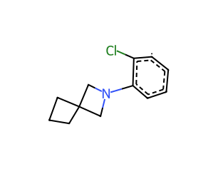 Clc1[c]cccc1N1CC2(CCC2)C1